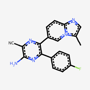 Cc1cnc2ccc(-c3nc(C#N)c(N)nc3-c3ccc(F)cc3)cn12